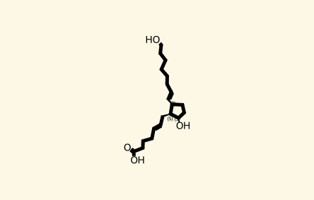 O=C(O)CCCC=CC[C@@H]1[C@@H](O)CC[C@@H]1C=CCCCCCCO